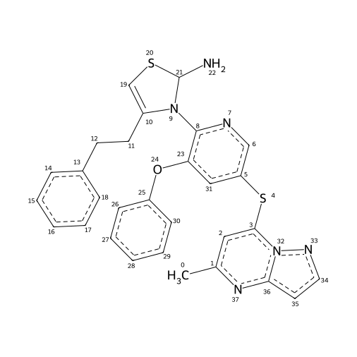 Cc1cc(Sc2cnc(N3C(CCc4ccccc4)=CSC3N)c(Oc3ccccc3)c2)n2nccc2n1